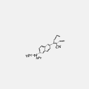 C=C/C(C#N)=C(\C=C/C)c1ccc2cc(N(CCC)CCC)ccc2c1